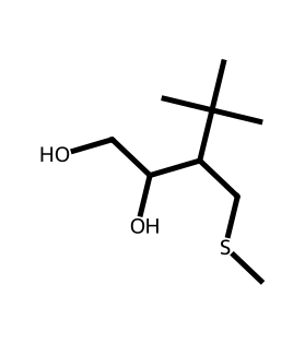 CSCC(C(O)CO)C(C)(C)C